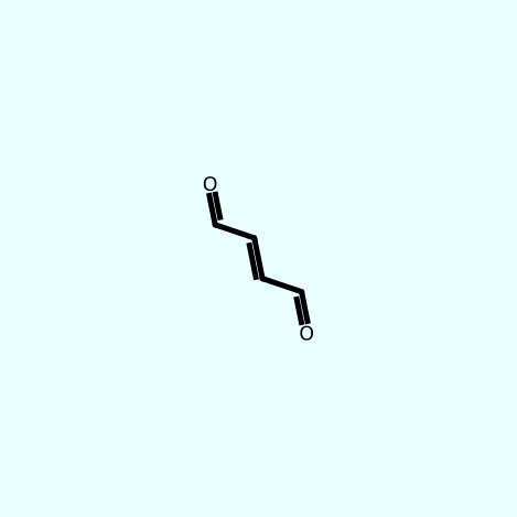 O=CC=CC=O